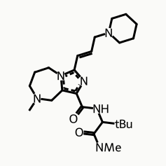 CNC(=O)C(NC(=O)c1nc(C=CCN2CCCCC2)n2c1CN(C)CCC2)C(C)(C)C